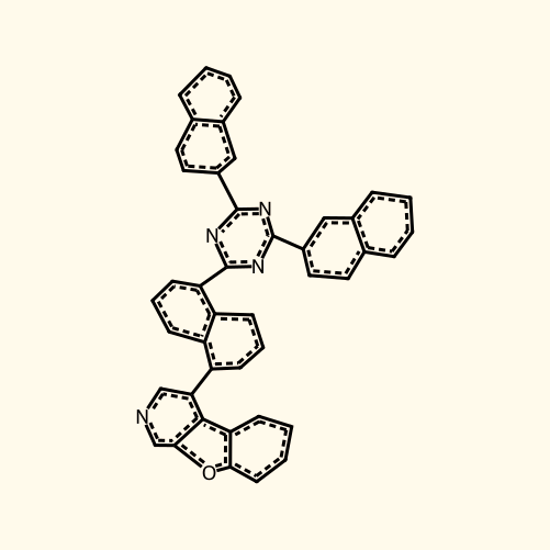 c1ccc2cc(-c3nc(-c4ccc5ccccc5c4)nc(-c4cccc5c(-c6cncc7oc8ccccc8c67)cccc45)n3)ccc2c1